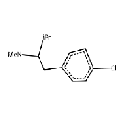 CNC(Cc1ccc(Cl)cc1)C(C)C